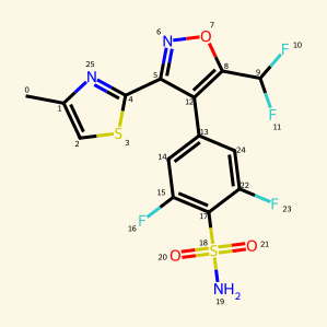 Cc1csc(-c2noc(C(F)F)c2-c2cc(F)c(S(N)(=O)=O)c(F)c2)n1